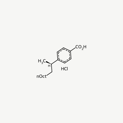 CCCCCCCCC[C@@H](C)c1ccc(C(=O)O)cc1.Cl